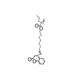 CCCC(C)(I)C(=O)OCCCCCCCSc1cc(=O)oc2ccccc12